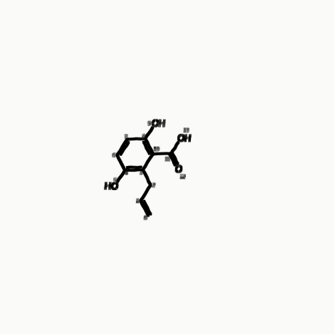 C=CCc1c(O)ccc(O)c1C(=O)O